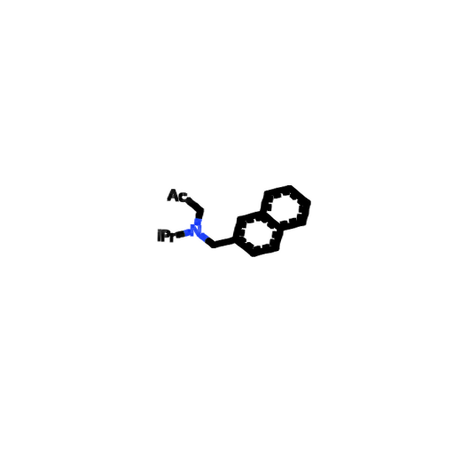 CC(=O)CN(Cc1ccc2ccccc2c1)C(C)C